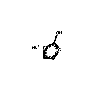 Cl.Oc1bcco1